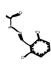 CC(=O)NN=Cc1c(Cl)cccc1Cl